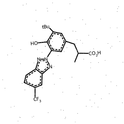 CC(Cc1cc(-n2nc3ccc(C(F)(F)F)cc3n2)c(O)c(C(C)(C)C)c1)C(=O)O